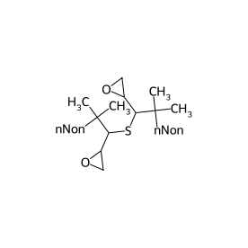 CCCCCCCCCC(C)(C)C(SC(C1CO1)C(C)(C)CCCCCCCCC)C1CO1